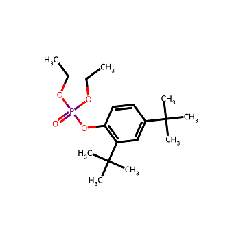 CCOP(=O)(OCC)Oc1ccc(C(C)(C)C)cc1C(C)(C)C